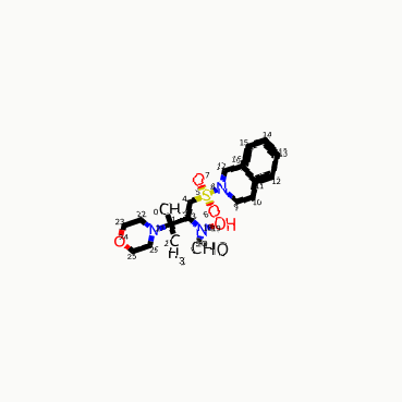 CC(C)(C(CS(=O)(=O)N1CCc2ccccc2C1)N(O)C=O)N1CCOCC1